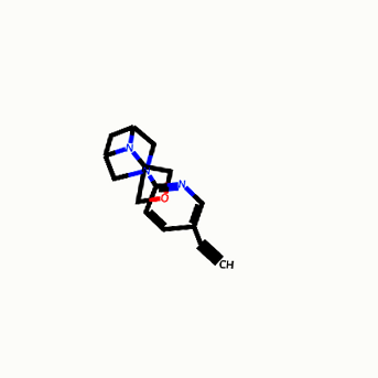 C#Cc1ccc(N2CC3CC(C2)N3C2COC2)nc1